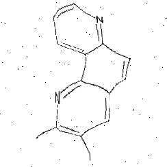 Cc1cc2ccc3ncccc3c2nc1C